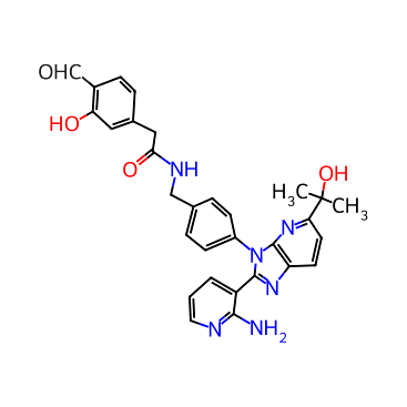 CC(C)(O)c1ccc2nc(-c3cccnc3N)n(-c3ccc(CNC(=O)Cc4ccc(C=O)c(O)c4)cc3)c2n1